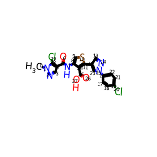 Cn1ncc(C(=O)Nc2csc(-c3cnn(-c4ccc(Cl)cc4)c3)c2C(=O)O)c1Cl